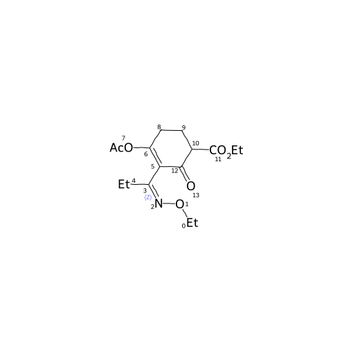 CCO/N=C(/CC)C1=C(OC(C)=O)CCC(C(=O)OCC)C1=O